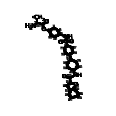 C[C@H](N)C(=O)Oc1ccc(NS(=O)(=O)c2ccc(-c3ccc(NC(=O)c4cc5ccccc5o4)cc3)cc2)cc1